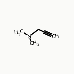 C#C[CH]N(C)C